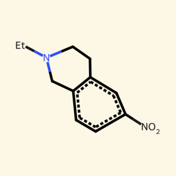 CCN1CCc2cc([N+](=O)[O-])ccc2C1